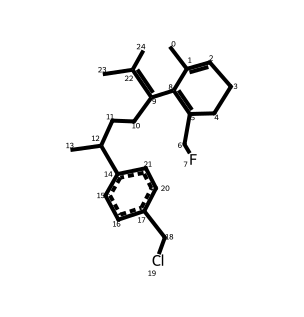 CC1=CCCC(CF)=C1C(CCC(C)c1ccc(CCl)cc1)=C(C)C